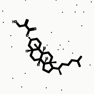 C=C(CO)C(=O)O[C@@H]1CC[C@@]2(C)[C@H](CC[C@@H]3[C@@H]2CC[C@]2(C)C([C@H](C)CCCC(C)C)CC[C@@H]32)C1